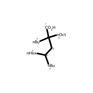 CCCCCCCCC(CCCC)(CC(CCCC)CCCCCC)C(=O)O